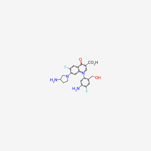 Nc1cc(-n2cc(C(=O)O)c(=O)c3cc(F)c(N4CCC(N)C4)cc32)c(CO)cc1F